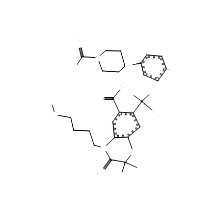 COCCCCN1C(=O)C(C)(C)Oc2cc(C(F)(F)F)c(C(=O)N[C@@H]3CN(C(=O)O)CC[C@H]3c3ccccc3)cc21